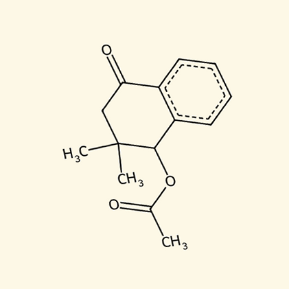 CC(=O)OC1c2ccccc2C(=O)CC1(C)C